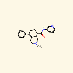 CN1CCC2=C(c3ccccc3)CC[C@@H](C(=O)Nc3cccnc3)C2C1